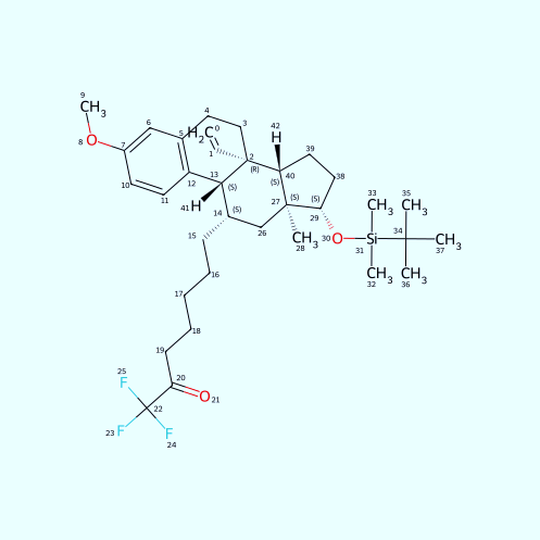 C=C[C@@]12CCc3cc(OC)ccc3[C@H]1[C@@H](CCCCCC(=O)C(F)(F)F)C[C@]1(C)[C@@H](O[Si](C)(C)C(C)(C)C)CC[C@H]12